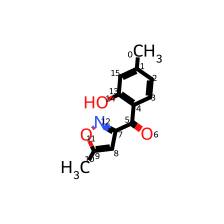 Cc1ccc(C(=O)c2cc(C)on2)c(O)c1